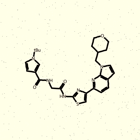 CC(C)(C)n1ccc(C(=O)NCC(=O)Nc2nc(-c3ccc4ccn(CC5CCOCC5)c4n3)cs2)c1